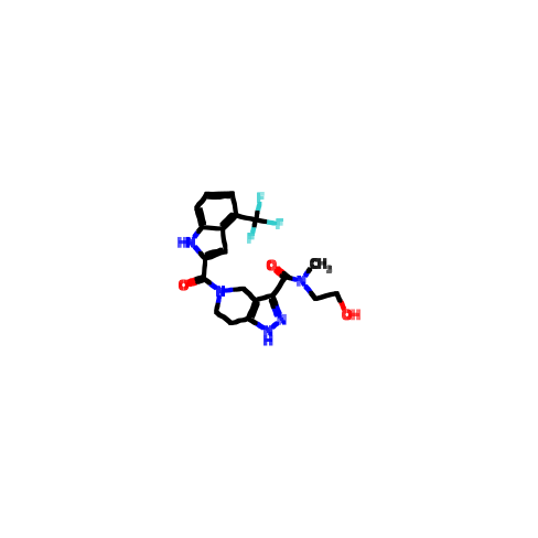 CN(CCO)C(=O)c1n[nH]c2c1CN(C(=O)c1cc3c(C(F)(F)F)cccc3[nH]1)CC2